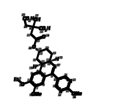 CCOc1cc2c(cc1OC)C(c1cnc(OC)nc1)=N[C@@H]1CC[C@@H](OC(=O)CC(O)(CC(=O)O)C(=O)O)C[C@H]21